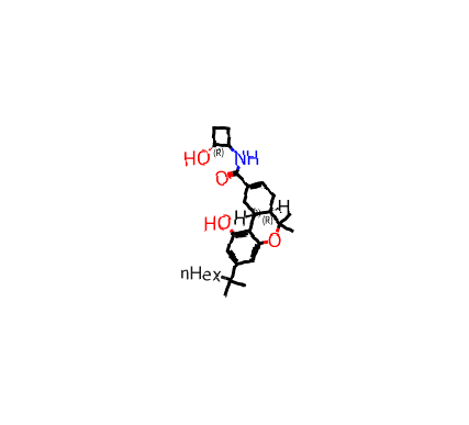 CCCCCCC(C)(C)c1cc(O)c2c(c1)OC(C)(C)[C@@H]1CC=C(C(=O)NC3CC[C@H]3O)C[C@@H]21